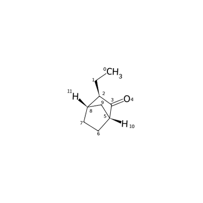 CC[C@H]1C(=O)[C@@H]2CC[C@H]1C2